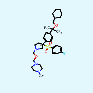 CC(=O)N1CCN(COCN2CC[C@](c3ccc(C(OCC4CCCCC4)(C(F)(F)F)C(F)(F)F)cc3)(S(=O)(=O)c3ccc(F)cc3)C2)CC1